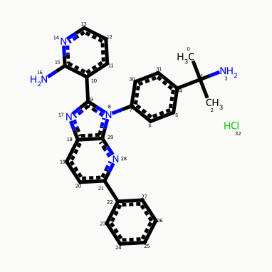 CC(C)(N)c1ccc(-n2c(-c3cccnc3N)nc3ccc(-c4ccccc4)nc32)cc1.Cl